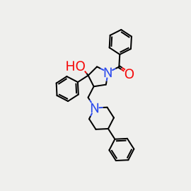 O=C(c1ccccc1)N1CC(CN2CCC(c3ccccc3)CC2)C(O)(c2ccccc2)C1